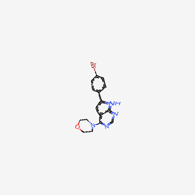 Brc1ccc(-c2cc3c(N4CCOCC4)ncnc3[nH]2)cc1